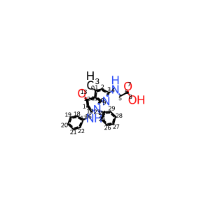 Cc1cc(NCC(=O)O)nc2c1c(=O)cc(Nc1ccccc1)n2-c1ccccc1